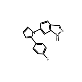 Fc1ccc(-c2c[c]cn2-c2ccc3cn[nH]c3c2)cc1